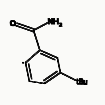 CC(C)(C)c1cc[c]c(C(N)=O)c1